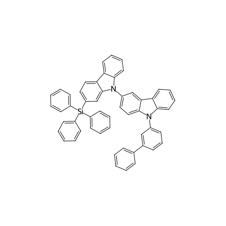 c1ccc(-c2cccc(-n3c4ccccc4c4cc(-n5c6ccccc6c6ccc([Si](c7ccccc7)(c7ccccc7)c7ccccc7)cc65)ccc43)c2)cc1